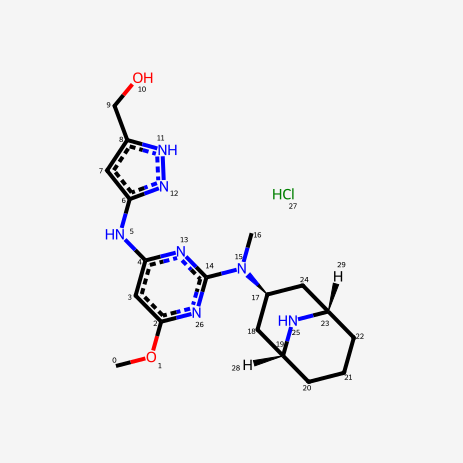 COc1cc(Nc2cc(CO)[nH]n2)nc(N(C)[C@@H]2C[C@H]3CCC[C@@H](C2)N3)n1.Cl